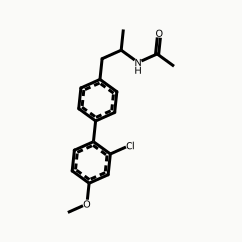 COc1ccc(-c2ccc(CC(C)NC(C)=O)cc2)c(Cl)c1